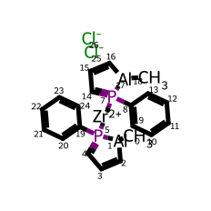 [CH3][Al]1[CH]=CC=[P]1([Zr+2][P]1(c2ccccc2)=CC=[CH][Al]1[CH3])c1ccccc1.[Cl-].[Cl-]